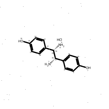 Cl.N[C@@H](c1ccc(O)cc1)[C@@H](N)c1ccc(O)cc1